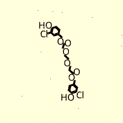 O=C(CCOCCOCC(=O)OCc1ccc(O)c(Cl)c1)OCc1ccc(O)c(Cl)c1